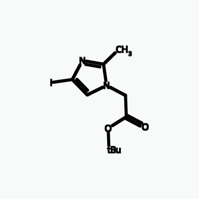 Cc1nc(I)cn1CC(=O)OC(C)(C)C